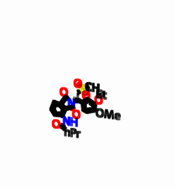 CCCC(=O)Nc1cccc2c1C(=O)N([C@H](CS(C)(=O)=O)c1ccc(OC)c(OCC)c1)C2=O